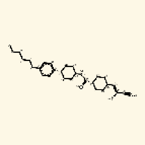 CCCCCCc1ccc([C@H]2CC[C@H](OC(=O)[C@H]3CC[C@H](C=C(F)C#N)CC3)CC2)cc1